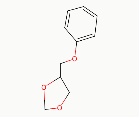 c1ccc(OCC2COCO2)cc1